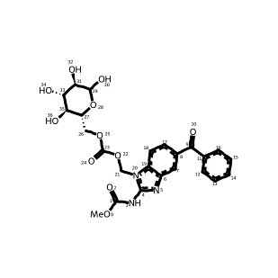 COC(=O)Nc1nc2cc(C(=O)c3ccccc3)ccc2n1COC(=O)OC[C@H]1OC(O)[C@H](O)[C@@H](O)[C@@H]1O